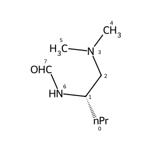 CCC[C@@H](CN(C)C)NC=O